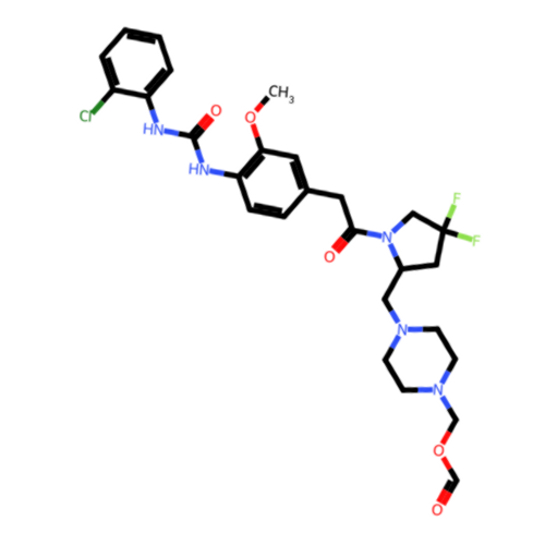 COc1cc(CC(=O)N2CC(F)(F)CC2CN2CCN(COC=O)CC2)ccc1NC(=O)Nc1ccccc1Cl